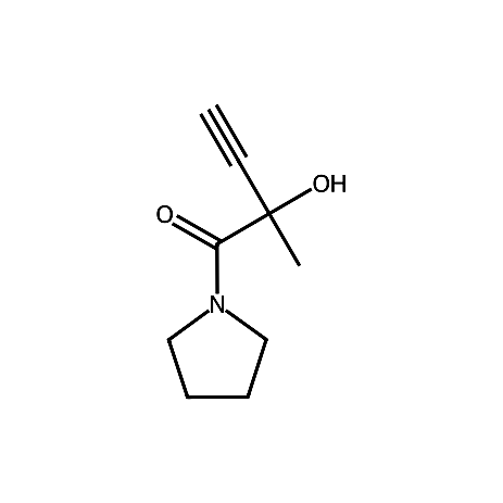 C#CC(C)(O)C(=O)N1CCCC1